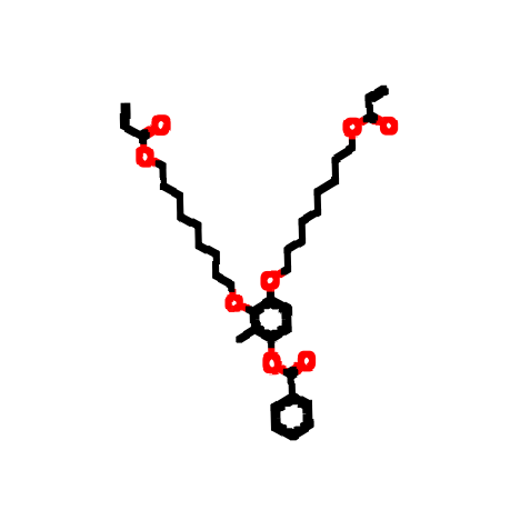 C=CC(=O)OCCCCCCCCCOc1ccc(OC(=O)c2ccccc2)c(C)c1OCCCCCCCCCOC(=O)C=C